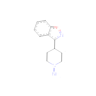 NN1CCC(c2noc3ccccc23)CC1